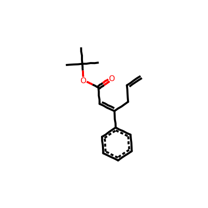 C=CCC(=CC(=O)OC(C)(C)C)c1ccccc1